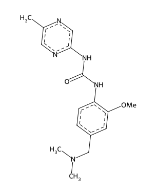 COc1cc(CN(C)C)ccc1NC(=O)Nc1cnc(C)cn1